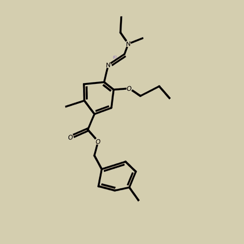 CCCOc1cc(C(=O)OCc2ccc(C)cc2)c(C)cc1/N=C/N(C)CC